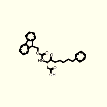 O=C(O)C[C@H](NC(=O)OCC1c2ccccc2-c2ccccc21)C(=O)CCCCCc1ccccc1